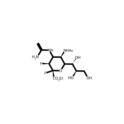 C=C(N)NC1[C@@H](NC(C)=O)C([C@H](O)[C@H](O)CO)O[C@@](F)(C(=O)OCC)[C@H]1F